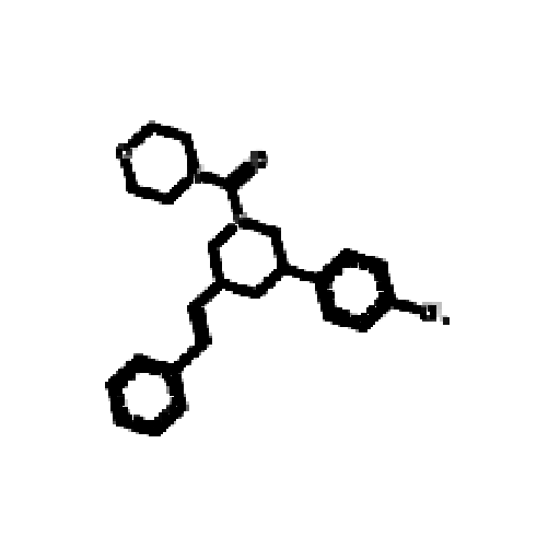 O=C(N1CCOCC1)N1CC(/C=C/c2ccccc2)CC(c2ccc(C(F)(F)F)cc2)C1